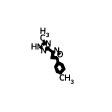 Cc1ccc(-c2cc(-c3n[nH]c(C)n3)no2)cc1